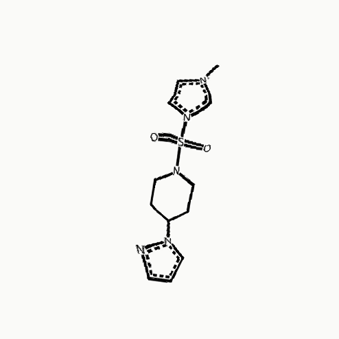 C[n+]1ccn(S(=O)(=O)N2CCC(n3cccn3)CC2)c1